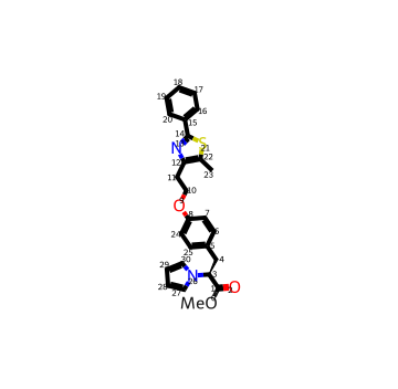 COC(=O)[C@H](Cc1ccc(OCCc2nc(-c3ccccc3)sc2C)cc1)n1cccc1